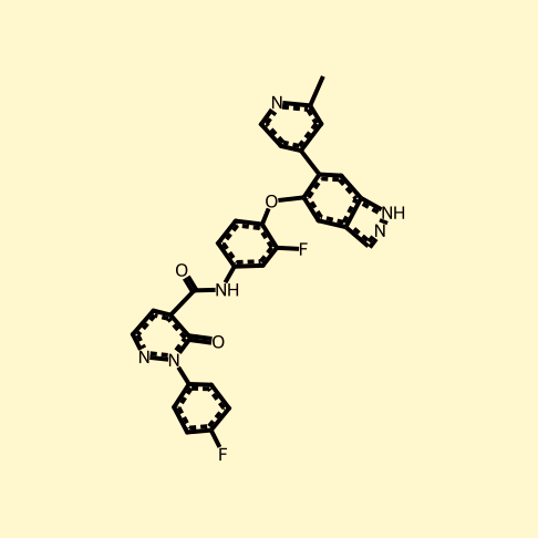 Cc1cc(-c2cc3[nH]ncc3cc2Oc2ccc(NC(=O)c3ccnn(-c4ccc(F)cc4)c3=O)cc2F)ccn1